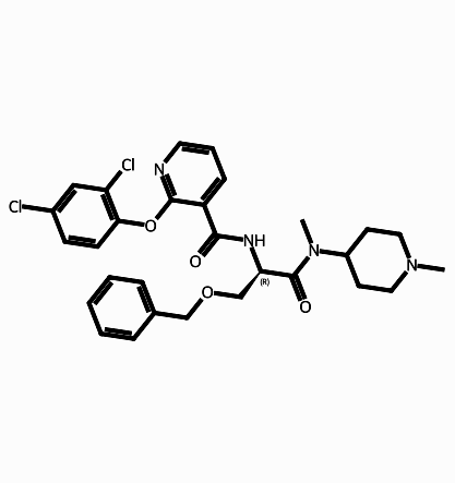 CN1CCC(N(C)C(=O)[C@@H](COCc2ccccc2)NC(=O)c2cccnc2Oc2ccc(Cl)cc2Cl)CC1